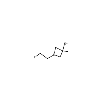 CC(C)C1(C)CN(CCF)C1